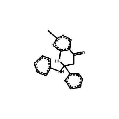 Cc1ccc2c(n1)NC(Nc1ccccc1)(c1ccccc1)CC2=O